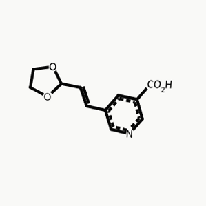 O=C(O)c1cncc(C=CC2OCCO2)c1